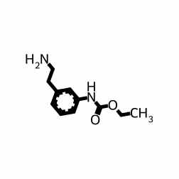 CCOC(=O)Nc1cccc(CCN)c1